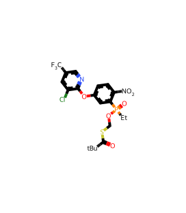 CCP(=O)(OCSC(=O)C(C)(C)C)c1cc(Oc2ncc(C(F)(F)F)cc2Cl)ccc1[N+](=O)[O-]